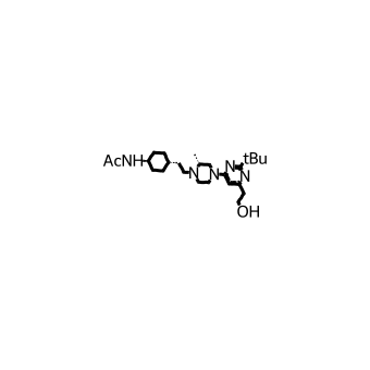 CC(=O)N[C@H]1CC[C@H](CCN2CCN(c3cc(CCO)nc(C(C)(C)C)n3)C[C@H]2C)CC1